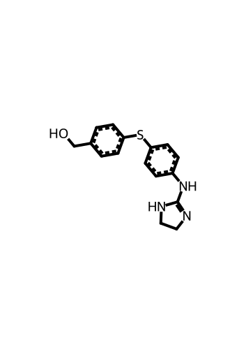 OCc1ccc(Sc2ccc(NC3=NCCN3)cc2)cc1